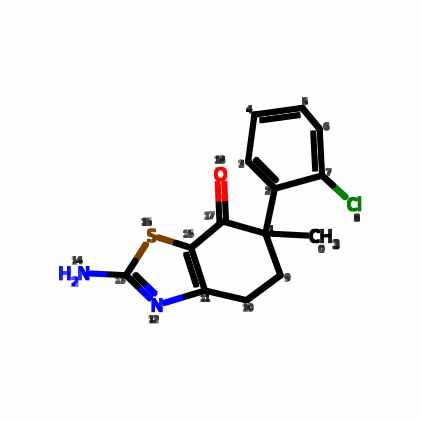 CC1(c2ccccc2Cl)CCc2nc(N)sc2C1=O